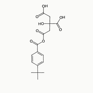 CC(C)(C)c1ccc(C(=O)OC(=O)CC(O)(CC(=O)O)C(=O)O)cc1